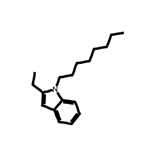 CCCCCCCCn1c(CC)cc2ccccc21